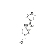 [O]CCc1ccc(NC(=O)N2CCOCC2)cc1